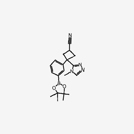 Cn1cnnc1C1(c2cccc(B3OC(C)(C)C(C)(C)O3)c2)CC(C#N)C1